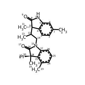 Cc1ccc2c(c1)NC(=O)[C@]2(C)C(C)CN1C(=O)[C@](C)(C(C)C)c2c(C)cccc21